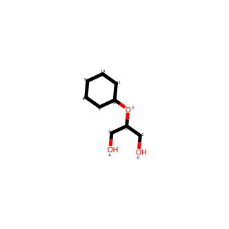 OCC(CO)OC1CCCCC1